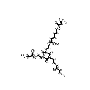 C=CC(=O)OCCCCCC(O)OCCn1c(=O)n(CCOC(=O)C=C)c(=O)n(CCOC(=O)C=C)c1=O